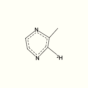 [2H]c1nccnc1C